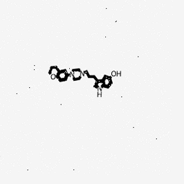 Oc1ccc2[nH]cc(CCCN3CCN(c4ccc5c(c4)CCCO5)CC3)c2c1